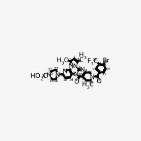 Cc1cc(C)n(-c2nc3c(c(=O)n2-c2ccc(N4CCN(C(=O)O)CC4)nc2)C[C@@H](C)N(C(=O)c2ccc(Br)c(C(F)(F)F)c2)C3)n1